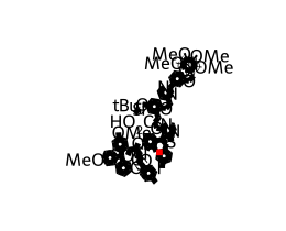 COc1ccc(C(OCC(COS(=O)(=O)c2ccc(C)cc2)Oc2ccc(-c3c(-c4ccc(F)cc4)sc4ncnc(OC(Cc5cc(O[Si](C)(C)C(C)(C)C)ccc5OCc5ccnc(-c6cccc(OC[C@H]7O[C@H](OC)[C@@H](OC)[C@@H](OC)[C@@H]7OC)c6)n5)C(=O)O)c34)c(C)c2Cl)(c2ccccc2)c2ccc(OC)cc2)cc1